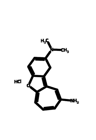 CN(C)C1=CC=c2oc3c(c2C1)C=C(N)C=CC=3.Cl